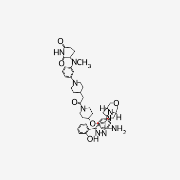 CN(c1cccc(N2CCC(CC(=O)N3CCC(Oc4cccc(N5[C@@H]6COC[C@H]5CN(c5cc(-c7ccccc7O)nnc5N)C6)c4)CC3)CC2)c1)C1CCC(=O)NC1=O